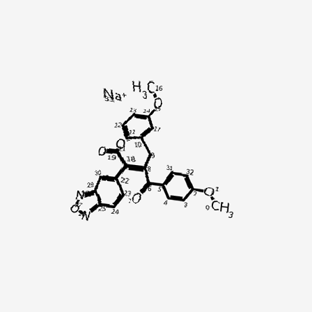 COc1ccc(C(=O)C(Cc2cccc(OC)c2)=C(C(=O)[O-])c2ccc3nonc3c2)cc1.[Na+]